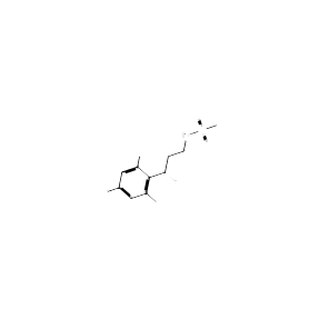 CC(C)[C@H](CCNS(C)(=O)=O)c1c(F)cc(F)cc1F